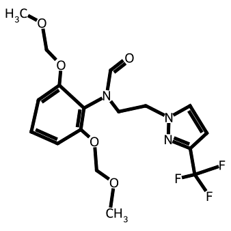 COCOc1cccc(OCOC)c1N(C=O)CCn1ccc(C(F)(F)F)n1